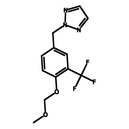 COCOc1ccc(Cn2nccn2)cc1C(F)(F)F